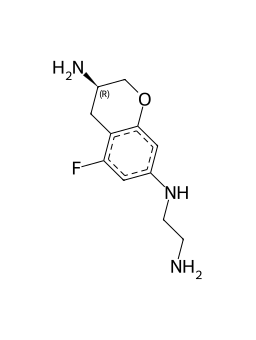 NCCNc1cc(F)c2c(c1)OC[C@H](N)C2